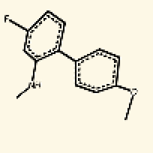 CNc1cc(F)ccc1-c1ccc(OC)cc1